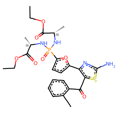 CCOC(=O)[C@H](C)NP(=O)(N[C@@H](C)C(=O)OCC)c1ccc(-c2nc(N)sc2C(=O)c2ccccc2C)o1